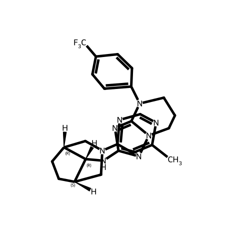 Cc1cc(N2C[C@H]3CC[C@@H](C2)[C@H]3Nc2nc3n(n2)CCCN3c2ccc(C(F)(F)F)cc2)ncn1